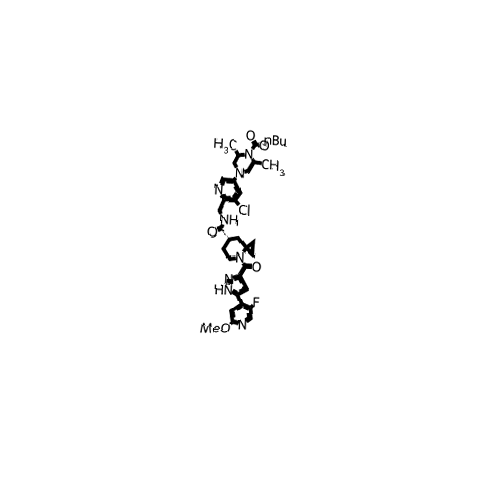 CCCCOC(=O)N1C(C)CN(c2cnc(CNC(=O)[C@H]3CCN(C(=O)c4cc(-c5cc(OC)ncc5F)[nH]n4)C4(CC4)C3)c(Cl)c2)CC1C